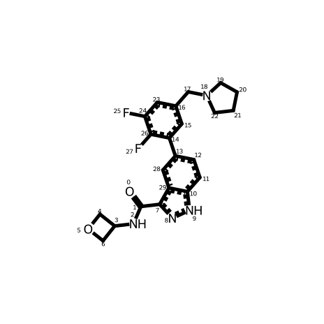 O=C(NC1COC1)c1n[nH]c2ccc(-c3cc(CN4CCCC4)cc(F)c3F)cc12